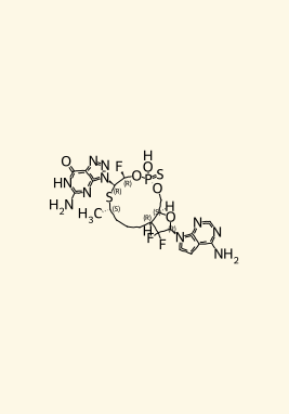 C[C@H]1CCC[C@@H]2[C@@H](COP(O)(=S)O[C@H](F)[C@H](n3nnc4c(=O)[nH]c(N)nc43)S1)O[C@@H](n1ccc3c(N)ncnc31)C2(F)F